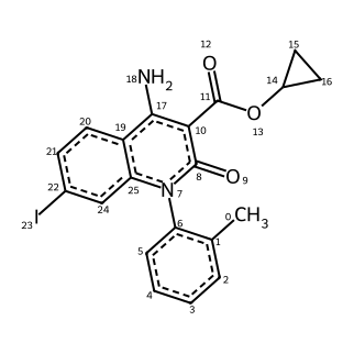 Cc1ccccc1-n1c(=O)c(C(=O)OC2CC2)c(N)c2ccc(I)cc21